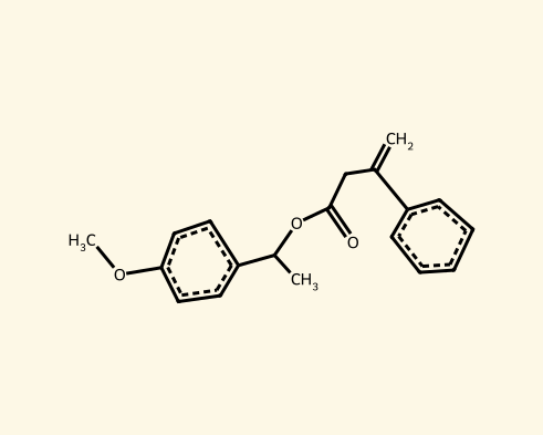 C=C(CC(=O)OC(C)c1ccc(OC)cc1)c1ccccc1